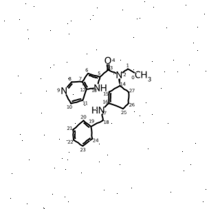 CCN(C(=O)c1cc2cnccc2[nH]1)[C@@H]1C=C(NCc2ccccc2)CCC1